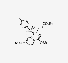 CCOC(=O)CCCN(c1cc(OC)ccc1C(=O)OC)S(=O)(=O)c1ccc(C)cc1